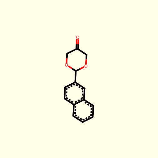 O=C1COC(c2ccc3ccccc3c2)OC1